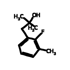 Cc1cccc(CC(C)(C)O)c1F